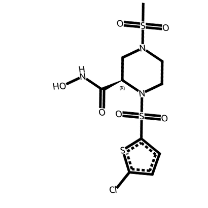 CS(=O)(=O)N1CCN(S(=O)(=O)c2ccc(Cl)s2)[C@@H](C(=O)NO)C1